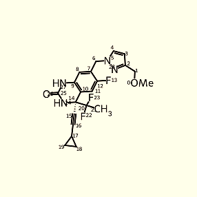 COCc1ccn(Cc2cc3c(cc2F)[C@@](C#CC2CC2)(C(C)(F)F)NC(=O)N3)n1